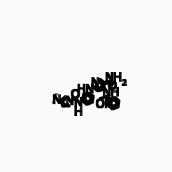 CN(C)C1CCN(C(=O)Nc2cccc(Nc3cc(N[C@H](CO)c4ccccc4)c(C(N)=O)cn3)c2)C1